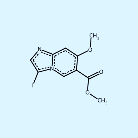 COC(=O)c1cn2c(I)cnc2cc1OC